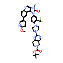 COc1ccc(-c2ccc3ncc4c(c3c2)n(-c2ccc(N3CCN(c5ncc6c(n5)CCN(C(=O)OC(C)(C)C)C6)CC3)c(C(F)(F)F)c2)c(=O)n4C)cn1